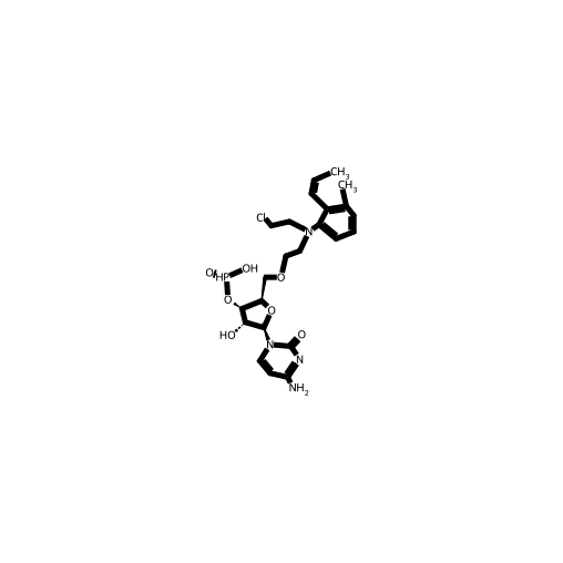 C/C=C\c1c(C)cccc1N(CCCl)CCOC[C@H]1O[C@@H](n2ccc(N)nc2=O)[C@H](O)[C@@H]1O[PH](=O)O